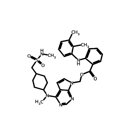 CNS(=O)(=O)CC1CCC(N(C)c2ncnc3c2ccn3COC(=O)c2ccccc2Nc2cccc(C)c2C)CC1